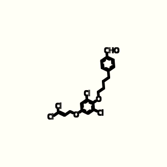 O=Cc1ccc(CCCCOc2c(Cl)cc(OCC=C(Cl)Cl)cc2Cl)cc1